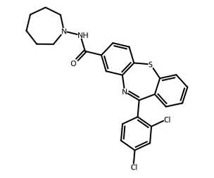 O=C(NN1CCCCCC1)c1ccc2c(c1)N=C(c1ccc(Cl)cc1Cl)c1ccccc1S2